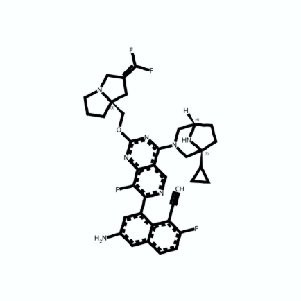 C#Cc1c(F)ccc2cc(N)cc(-c3ncc4c(N5C[C@@H]6CC[C@](C7CC7)(C5)N6)nc(OC[C@@]56CCCN5CC(=C(F)F)C6)nc4c3F)c12